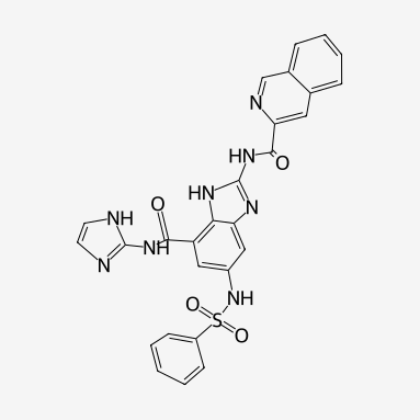 O=C(Nc1nc2cc(NS(=O)(=O)c3ccccc3)cc(C(=O)Nc3ncc[nH]3)c2[nH]1)c1cc2ccccc2cn1